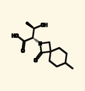 CC1CCC2(CC1)CN([C@H](C(=O)O)[C@@H](C)O)C2=O